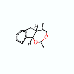 C[C@@H]1OC[C@H](C)[C@H]2Cc3ccccc3[C@H]2O1